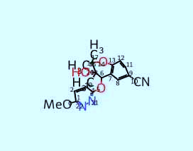 COc1ccc(OC2c3cc(C#N)ccc3OC(C)(C)C2(C)O)nn1